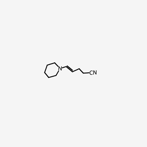 N#CCCC=CN1CCCCC1